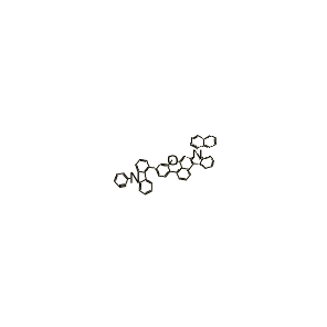 c1ccc(-n2c3ccccc3c3c(-c4ccc5c(c4)Oc4cc6c(c7cccc-5c47)c4ccccc4n6-c4cccc5ccccc45)cccc32)cc1